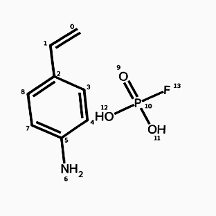 C=Cc1ccc(N)cc1.O=P(O)(O)F